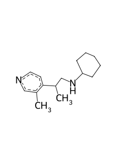 Cc1cnccc1C(C)CNC1CCCCC1